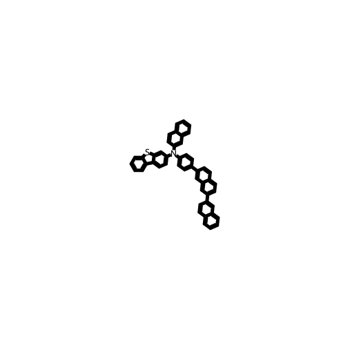 c1ccc2cc(-c3ccc4ccc(-c5ccc(N(c6ccc7ccccc7c6)c6ccc7c(c6)sc6ccccc67)cc5)cc4c3)ccc2c1